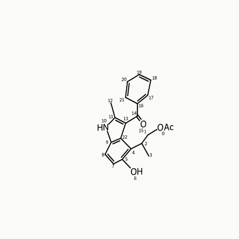 CC(=O)OCC(C)c1c(O)ccc2[nH]c(C)c(C(=O)c3ccccc3)c12